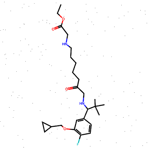 CCOC(=O)CNCCCCCC(=O)CNC(c1ccc(F)c(OCC2CC2)c1)C(C)(C)C